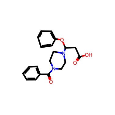 O=C(O)CC(Oc1ccccc1)N1CCN(C(=O)c2ccccc2)CC1